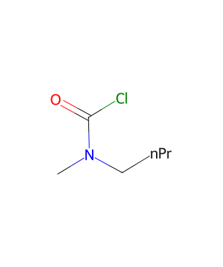 CCCCN(C)C(=O)Cl